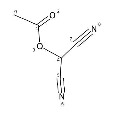 CC(=O)OC(C#N)C#N